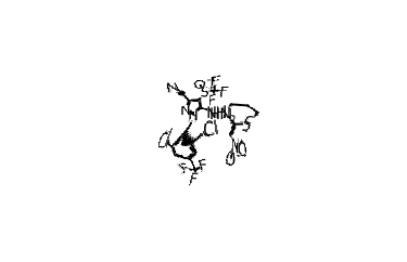 N#Cc1nn(-c2c(Cl)cc(C(F)(F)F)cc2Cl)c(N)c1[S+]([O-])C(F)(F)F.O=[N+]([O-])/C=C1/NCCCS1